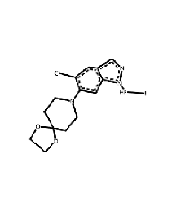 Clc1cc2cnn(PI)c2cc1N1CCC2(CC1)OCCO2